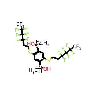 C[SiH](O)c1cc(SCCC(F)(F)C(F)(F)C(F)(F)C(F)(F)F)c([SiH](C)O)cc1SCCC(F)(F)C(F)(F)C(F)(F)C(F)(F)F